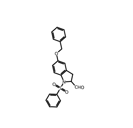 O=CC1Cc2cc(OCc3ccccc3)ccc2N1S(=O)(=O)c1ccccc1